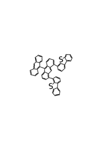 c1ccc2c(-c3c4cccc(-c5cccc6c5sc5ccccc56)c4cc4c(-c5cccc6c5sc5ccccc56)cccc34)c3ccccc3cc2c1